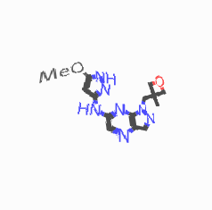 COc1cc(Nc2cnc3cnn(CC4(C)COC4)c3n2)n[nH]1